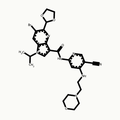 CC(C)n1cc(C(=O)Nc2cc(NCCN3CCOCC3)c(C#N)cn2)c2nc(C3OCCO3)c(Br)cc21